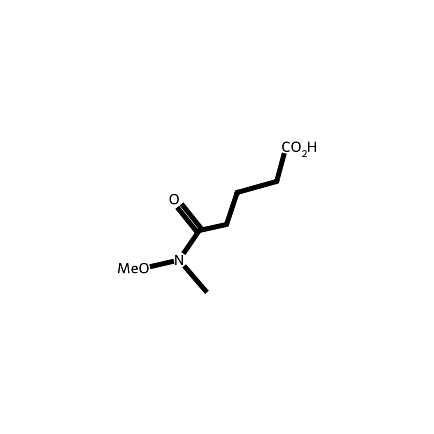 CON(C)C(=O)CCCC(=O)O